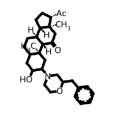 CC(=O)[C@H]1CC[C@H]2[C@@H]3CCC4CC(O)C(N5CCOC(Cc6ccccc6)C5)C[C@]4(C)[C@H]3C(=O)C[C@]12C